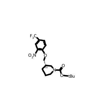 CC(C)(C)OC(=O)N1CCC[C@H](COc2ccc(C(F)(F)F)cc2[N+](=O)[O-])C1